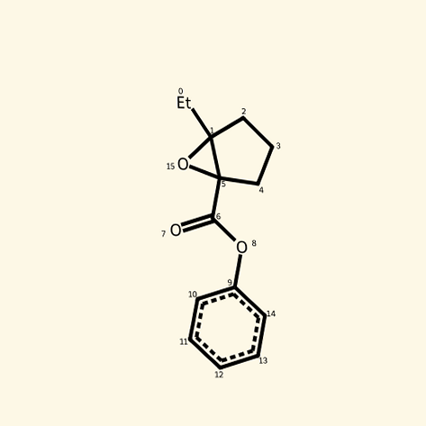 CCC12CCCC1(C(=O)Oc1ccccc1)O2